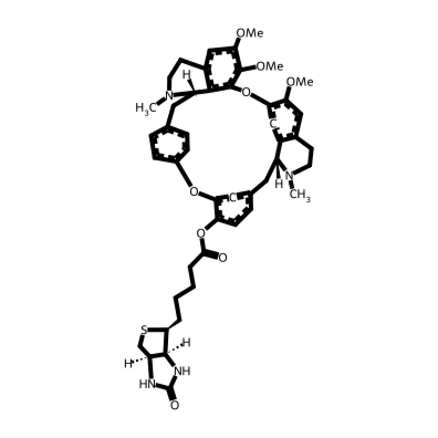 COc1cc2c3cc1Oc1c(OC)c(OC)cc4c1[C@H](Cc1ccc(cc1)Oc1cc(ccc1OC(=O)CCCC[C@@H]1SC[C@@H]5NC(=O)N[C@@H]51)C[C@H]3N(C)CC2)N(C)CC4